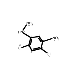 NNc1cc([N+](=O)[O-])c(Cl)cc1Cl